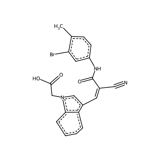 Cc1ccc(NC(=O)C(C#N)=Cc2cn(CC(=O)O)c3ccccc23)cc1Br